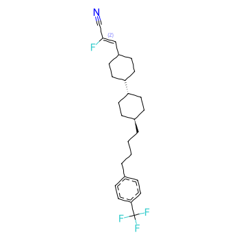 N#C/C(F)=C/C1CCC([C@H]2CC[C@H](CCCCc3ccc(C(F)(F)F)cc3)CC2)CC1